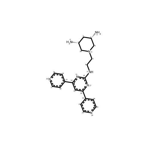 N[C@@H]1C[C@H](N)CN(CCNc2nc(-c3ccncc3)cc(-c3ccncc3)n2)C1